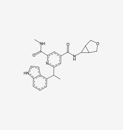 CNC(=O)c1cc(C(=O)NC2C3COCC32)cc(C(C)c2cccc3[nH]ccc23)n1